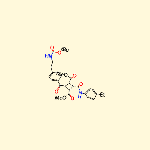 CCc1ccc(NC(=O)C2C(C(=O)OC)C(C(=O)c3ccc(CCNC(=O)OC(C)(C)C)cc3)C2C(=O)OC)cc1